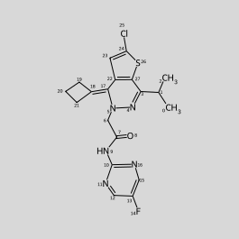 CC(C)C1=NN(CC(=O)Nc2ncc(F)cn2)C(=C2CCC2)c2cc(Cl)sc21